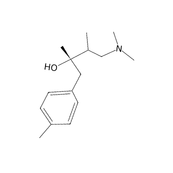 Cc1ccc(C[C@](C)(O)C(C)CN(C)C)cc1